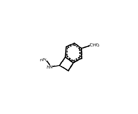 CCCNC1Cc2cc(C=O)ccc21